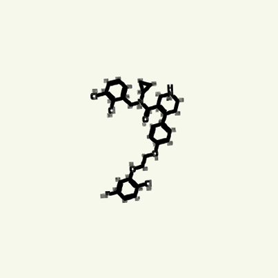 O=C(C1=C(c2ccc(OCCOc3cc(F)ccc3Cl)cc2)CCNC1)N(Cc1cccc(Cl)c1Cl)C1CC1